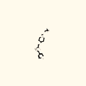 O=C(OCC(Cl)(Cl)Cl)N1CCC(OCc2nc(-c3ccncc3)no2)CC1